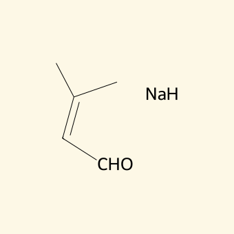 CC(C)=CC=O.[NaH]